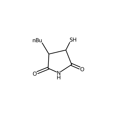 CCCCC1C(=O)NC(=O)C1S